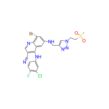 CS(=O)(=O)CCn1cc(CNc2cc(Br)c3ncc(C#N)c(Nc4ccc(F)c(Cl)c4)c3c2)nn1